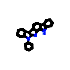 c1ccc(N2C3=Nc4c(ccc5c4[nH]c4ccccc45)C3c3ccccc32)cc1